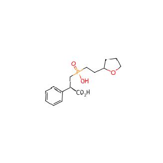 O=C(O)C(CP(=O)(O)CCC1CCCO1)c1ccccc1